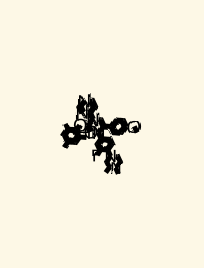 COc1ccc(C(CN(C(=O)Oc2c(C)cc(C)cc2C)c2ccncn2)Nc2ccc(N3CCN(C)C(C)C3)c(F)c2)cc1